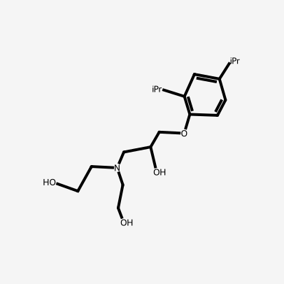 CC(C)c1ccc(OCC(O)CN(CCO)CCO)c(C(C)C)c1